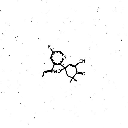 C/C=C/c1cc(F)cnc1C1(OC)C=C(C#N)C(=O)C(C)(C)C1